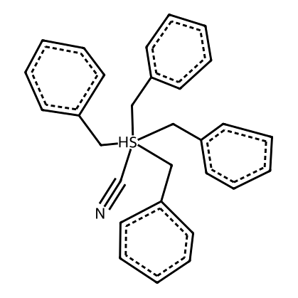 N#C[SH](Cc1ccccc1)(Cc1ccccc1)(Cc1ccccc1)Cc1ccccc1